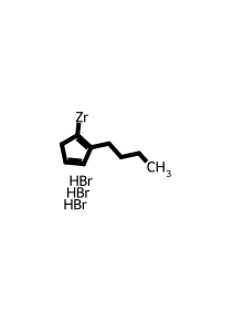 Br.Br.Br.CCCCC1=[C]([Zr])CC=C1